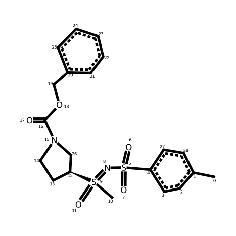 Cc1ccc(S(=O)(=O)N=S(C)(=O)[C@H]2CCN(C(=O)OCc3ccccc3)C2)cc1